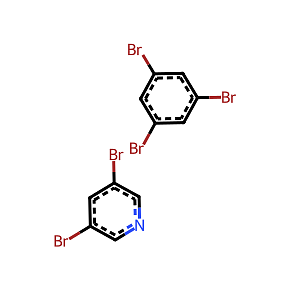 Brc1cc(Br)cc(Br)c1.Brc1cncc(Br)c1